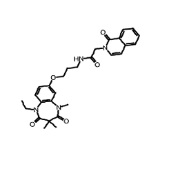 CCN1C(=O)C(C)(C)C(=O)N(C)c2cc(OCCCNC(=O)Cn3ccc4ccccc4c3=O)ccc21